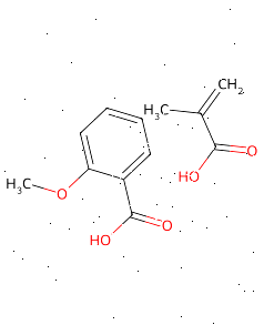 C=C(C)C(=O)O.COc1ccccc1C(=O)O